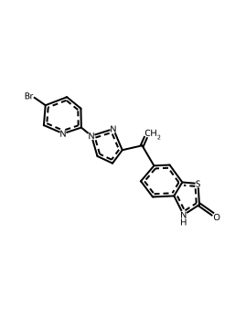 C=C(c1ccc2[nH]c(=O)sc2c1)c1ccn(-c2ccc(Br)cn2)n1